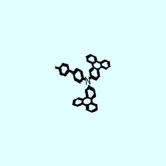 Cc1ccc(-c2ccc(N(c3ccc4c5ccccc5c5ccccc5c4c3)c3ccc4c5ccccc5c5ccccc5c4c3)cc2)cc1